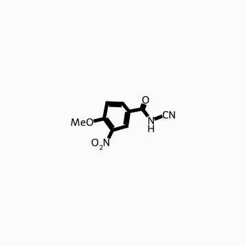 COc1ccc(C(=O)NC#N)cc1[N+](=O)[O-]